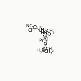 CC(Cn1ccc(-c2ccc(C#N)c(Cl)c2)n1)NC(=O)c1cn(COCC[Si](C)(C)C)c(C(C)C)n1